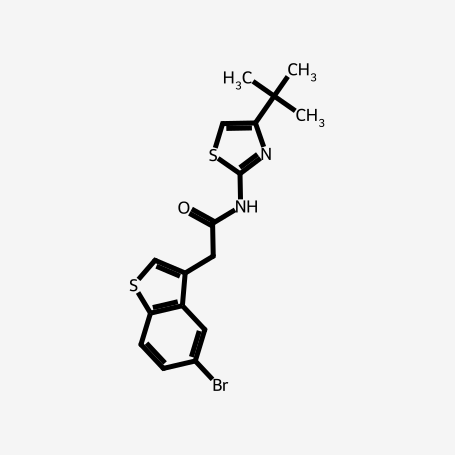 CC(C)(C)c1csc(NC(=O)Cc2csc3ccc(Br)cc23)n1